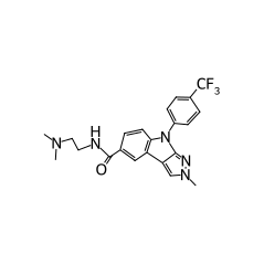 CN(C)CCNC(=O)c1ccc2c(c1)c1cn(C)nc1n2-c1ccc(C(F)(F)F)cc1